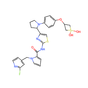 O=C(Nc1nc(C2CCCN2c2ccc(OC3CS(O)(O)C3)cc2)cs1)c1cccn1Cc1ccnc(F)c1